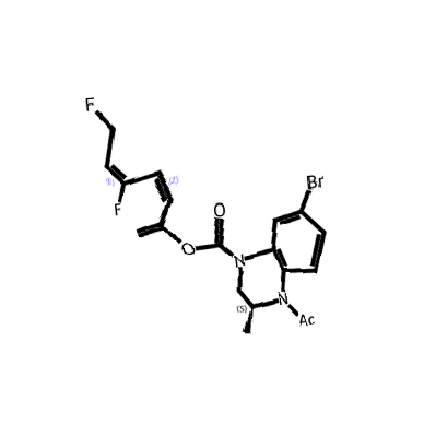 C=C(/C=C\C(F)=C/CF)OC(=O)N1C[C@H](C)N(C(C)=O)c2ccc(Br)cc21